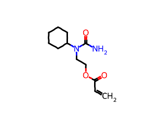 C=CC(=O)OCCN(C(N)=O)C1CCCCC1